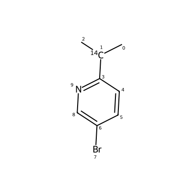 C[14CH](C)c1ccc(Br)cn1